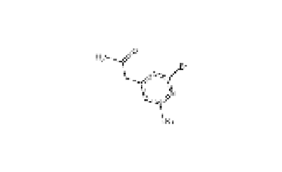 CC(C)(C)c1cc(CC(N)=O)cc(Br)n1